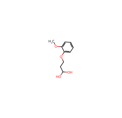 COc1ccccc1OCCC(O)O